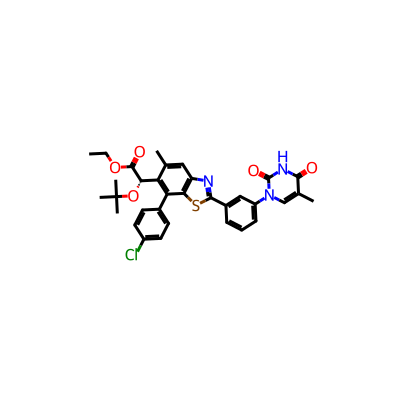 CCOC(=O)[C@@H](OC(C)(C)C)c1c(C)cc2nc(-c3cccc(-n4cc(C)c(=O)[nH]c4=O)c3)sc2c1-c1ccc(Cl)cc1